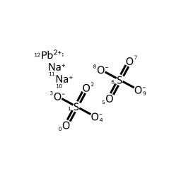 O=S(=O)([O-])[O-].O=S(=O)([O-])[O-].[Na+].[Na+].[Pb+2]